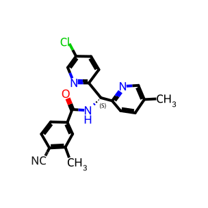 Cc1ccc([C@H](NC(=O)c2ccc(C#N)c(C)c2)c2ccc(Cl)cn2)nc1